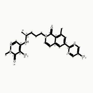 Cc1cc(-c2ncc(C(F)(F)F)cn2)cc2ccn(CCC[C@H](C)Nc3cnn(C)c(=O)c3C(F)(F)F)c(=O)c12